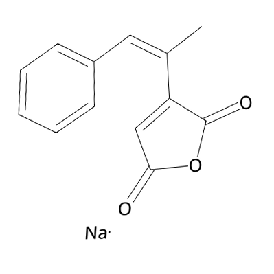 CC(=Cc1ccccc1)C1=CC(=O)OC1=O.[Na]